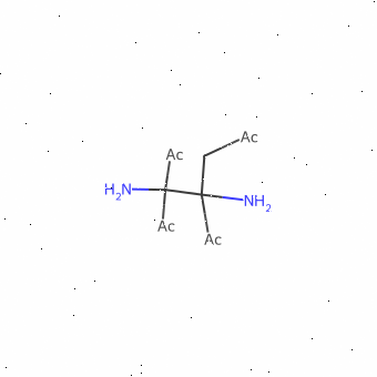 CC(=O)CC(N)(C(C)=O)C(N)(C(C)=O)C(C)=O